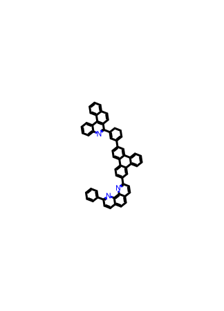 C1=C(c2ccc3c4ccc(-c5ccc6ccc7ccc(-c8ccccc8)nc7c6n5)cc4c4ccccc4c3c2)C=C(c2nc3ccccc3c3c2ccc2ccccc23)CC1